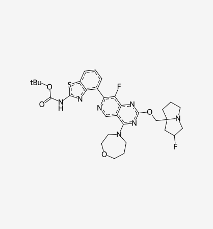 CC(C)(C)OC(=O)Nc1nc2c(-c3ncc4c(N5CCCOCC5)nc(OCC56CCCN5CC(F)C6)nc4c3F)cccc2s1